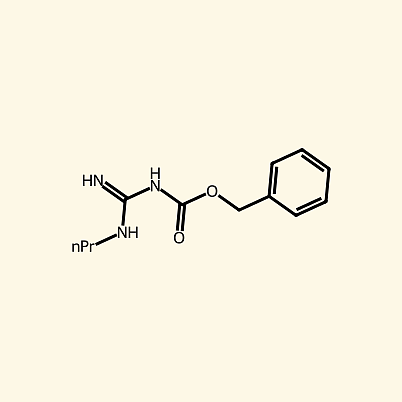 CCCNC(=N)NC(=O)OCc1ccccc1